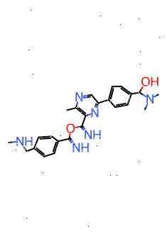 CNCc1ccc(C(=N)OC(=N)c2nc(-c3ccc(C(O)N(C)C)cc3)cnc2C)cc1